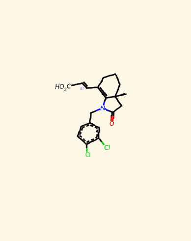 CC12CCCC(/C=C/C(=O)O)=C1N(Cc1ccc(Cl)c(Cl)c1)C(=O)C2